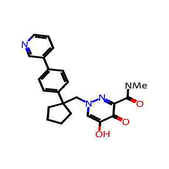 CNC(=O)c1nn(CC2(c3ccc(-c4cccnc4)cc3)CCCC2)cc(O)c1=O